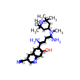 CN(/C(N)=C/C=C(\N)c1cc2cc(C#N)cnc2cc1O)C1CC(C)(C)NC(C)(C)C1